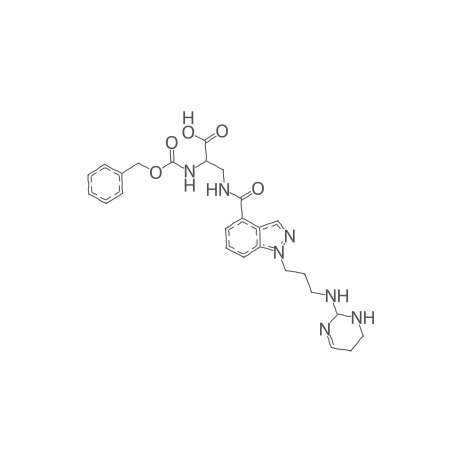 O=C(NC(CNC(=O)c1cccc2c1cnn2CCCNC1N=CCCN1)C(=O)O)OCc1ccccc1